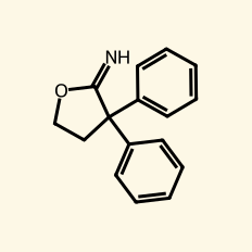 N=C1OCCC1(c1ccccc1)c1ccccc1